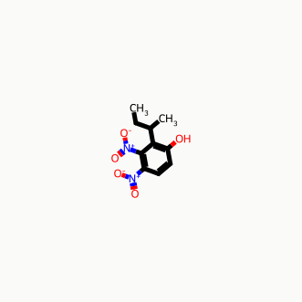 CCC(C)c1c(O)ccc([N+](=O)[O-])c1[N+](=O)[O-]